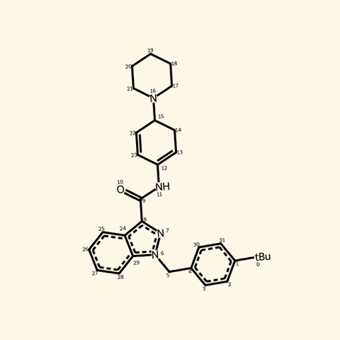 CC(C)(C)c1ccc(Cn2nc(C(=O)NC3=CCC(N4CCCCC4)C=C3)c3ccccc32)cc1